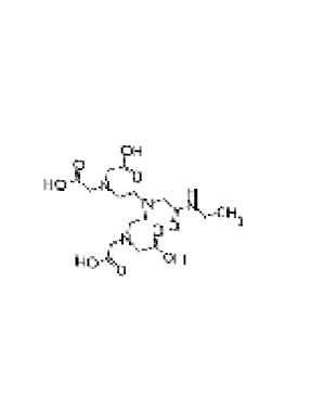 CCNC(=O)CN(CCN(CC(=O)O)CC(=O)O)CCN(CC(=O)O)CC(=O)O